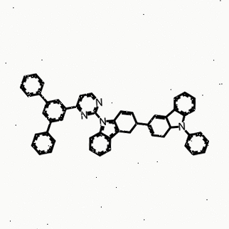 C1=CC(C2=CCC3C(=C2)c2ccccc2N3c2ccccc2)Cc2c1n(-c1nccc(-c3cc(-c4ccccc4)cc(-c4ccccc4)c3)n1)c1ccccc21